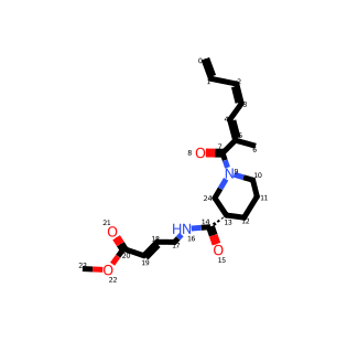 C=C/C=C\C=C(/C)C(=O)N1CCC[C@H](C(=O)NC/C=C/C(=O)OC)C1